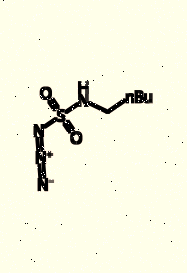 CCCCCNS(=O)(=O)N=[N+]=[N-]